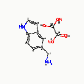 NCc1ccc2[nH]ccc2c1.O=C(O)C(=O)O